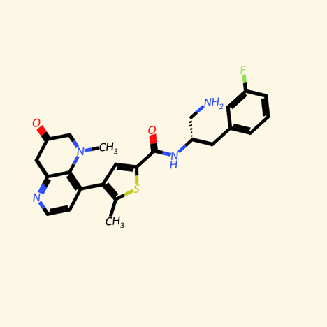 Cc1sc(C(=O)N[C@H](CN)Cc2cccc(F)c2)cc1-c1ccnc2c1N(C)CC(=O)C2